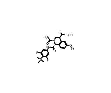 CCOc1ccc2c(c1)C(C(CC)C(=O)O)CN(C(N)=O)[C@H]2C(=O)Nc1cc(F)c([Si](C)(C)C)c(F)c1